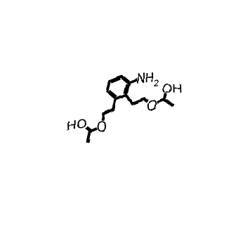 CC(O)OCCc1cccc(N)c1CCOC(C)O